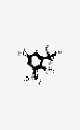 Nc1c([N+](=O)[O-])cc(O)cc1C(F)(F)F